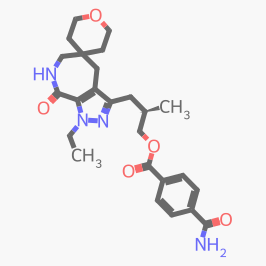 CCn1nc(C[C@@H](C)COC(=O)c2ccc(C(N)=O)cc2)c2c1C(=O)NCC1(CCOCC1)C2